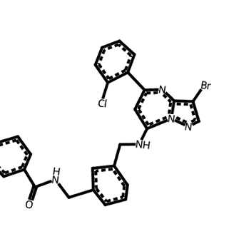 O=C(NCc1cccc(CNc2cc(-c3ccccc3Cl)nc3c(Br)cnn23)c1)c1ccccc1